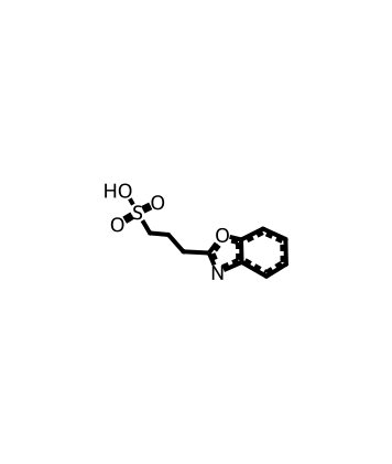 O=S(=O)(O)CCCc1nc2ccccc2o1